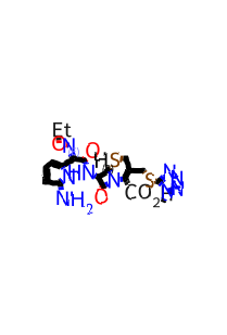 CCO/N=C(/C(=O)NC1C(=O)N2C(C(=O)O)=C(CSc3nnnn3C)CS[C@H]12)c1cccc(N)n1